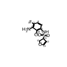 Nc1c(F)ccc(NS(=O)(=O)C2C=COC2)c1Cl